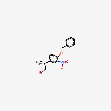 CC(CBr)c1ccc(OCc2ccccc2)c([N+](=O)[O-])c1